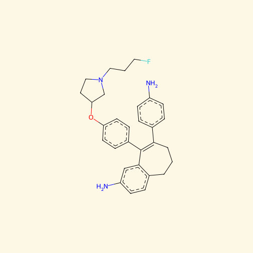 Nc1ccc(C2=C(c3ccc(OC4CCN(CCCF)C4)cc3)c3cc(N)ccc3CCC2)cc1